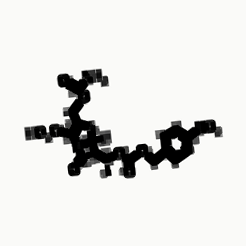 C[C@@H](OC(=O)OCc1ccc([N+](=O)[O-])cc1)[C@H]1C(=O)N2C(C(=O)O)=C(COC(N)=O)S[C@H]12